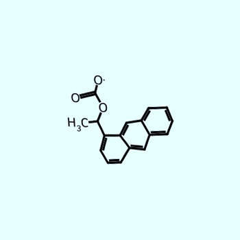 CC(OC([O])=O)c1cccc2cc3ccccc3cc12